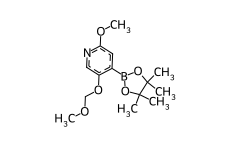 COCOc1cnc(OC)cc1B1OC(C)(C)C(C)(C)O1